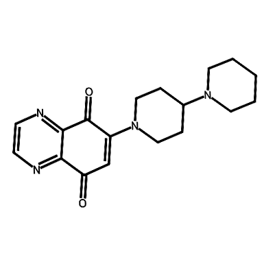 O=C1C=C(N2CCC(N3CCCCC3)CC2)C(=O)c2nccnc21